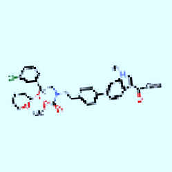 COC(=O)c1cn(C(C)C)c2cc(-c3ccc(CCN(C[C@H](OC4CCCCO4)c4cccc(Cl)c4)C(=O)OC(C)(C)C)cc3)ccc12